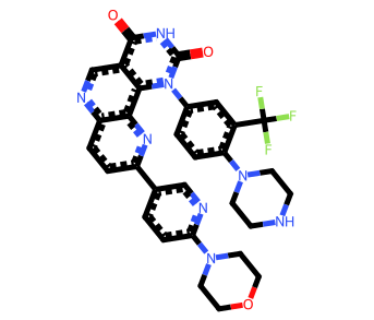 O=c1[nH]c(=O)n(-c2ccc(N3CCNCC3)c(C(F)(F)F)c2)c2c1cnc1ccc(-c3ccc(N4CCOCC4)nc3)nc12